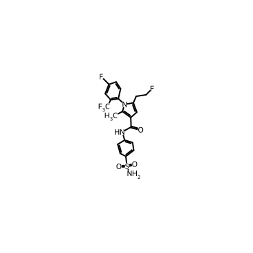 Cc1c(C(=O)Nc2ccc(S(N)(=O)=O)cc2)cc(CCF)n1-c1ccc(F)cc1C(F)(F)F